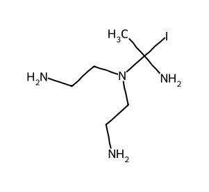 CC(N)(I)N(CCN)CCN